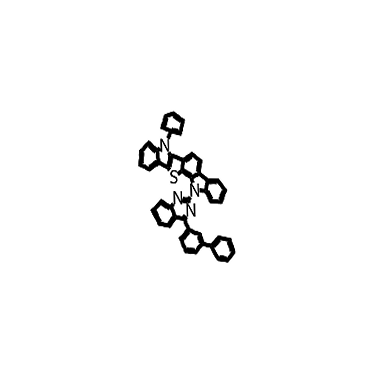 c1ccc(-c2cccc(-c3nc(-n4c5ccccc5c5ccc6c(sc7c8ccccc8n(-c8ccccc8)c67)c54)nc4ccccc34)c2)cc1